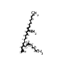 CCCCCCCCCC(N)CCCCCCCC(CC1CC1)C[C@H]1C[C@H]1CCCCC